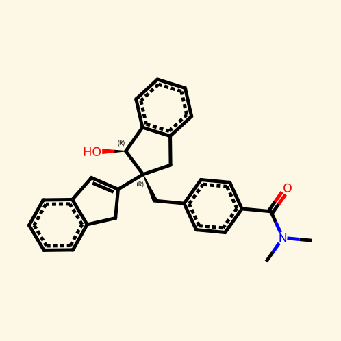 CN(C)C(=O)c1ccc(C[C@]2(C3=Cc4ccccc4C3)Cc3ccccc3[C@@H]2O)cc1